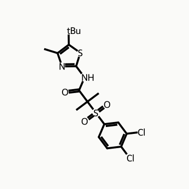 Cc1nc(NC(=O)C(C)(C)S(=O)(=O)c2ccc(Cl)c(Cl)c2)sc1C(C)(C)C